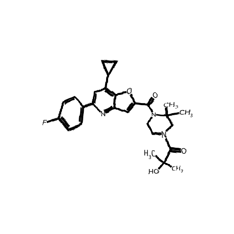 CC(C)(O)C(=O)N1CCN(C(=O)c2cc3nc(-c4ccc(F)cc4)cc(C4CC4)c3o2)C(C)(C)C1